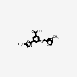 Cc1cnc(-c2cc(OCC34CC(CO3)N(C)C4)cc(C(=O)O)c2)s1